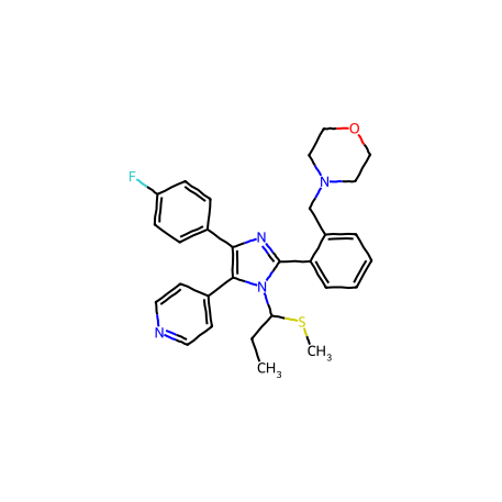 CCC(SC)n1c(-c2ccccc2CN2CCOCC2)nc(-c2ccc(F)cc2)c1-c1ccncc1